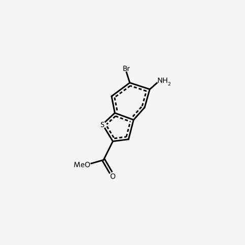 COC(=O)c1cc2cc(N)c(Br)cc2s1